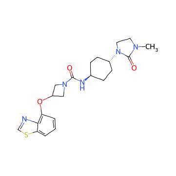 CN1CCN([C@H]2CC[C@H](NC(=O)N3CC(Oc4cccc5scnc45)C3)CC2)C1=O